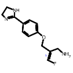 NC/C(=C\F)COc1ccc(C2=NCCN2)cc1